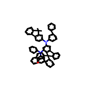 CC1(C)c2ccccc2-c2ccc(N(c3cccc(-c4ccccc4)c3)c3cc4c(c(N(c5ccccc5)c5ccccc5)c3)C3(c5ccccc5-4)c4ccccc4-c4c3ccc3ccccc43)cc21